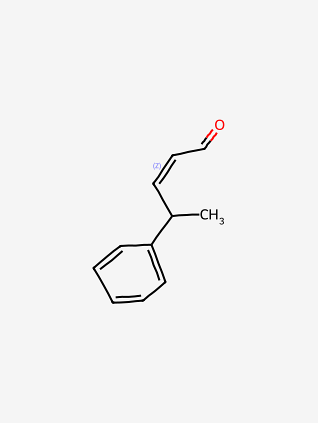 CC(/C=C\C=O)c1ccccc1